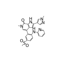 Cn1cc(-c2cc3c(-c4cc(S(C)(=O)=O)ccc4Nc4ccccn4)cn(C)c(=O)c3[nH]2)cn1